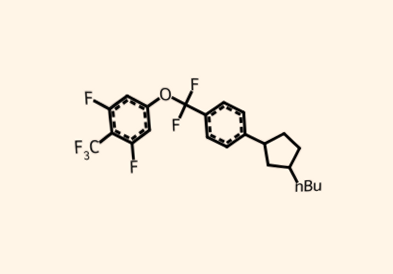 CCCCC1CCC(c2ccc(C(F)(F)Oc3cc(F)c(C(F)(F)F)c(F)c3)cc2)C1